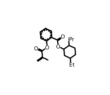 C=C(C)C(=O)Oc1ccccc1C(=O)OC1CC(CC)CCC1C(C)C